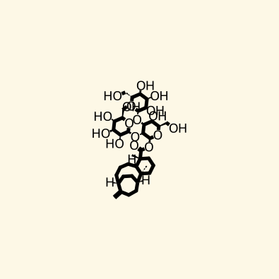 C=C1CC[C@H]2CC[C@@H]1CCC[C@H]1[C@@]2(C)CCC[C@@]1(C)C(=O)O[C@@H]1O[C@H](CO)[C@@H](O)[C@H](O[C@@H]2O[C@H](CO)[C@@H](O)[C@H](O)[C@H]2O)[C@H]1O[C@@H]1O[C@H](CO)[C@@H](O)[C@H](O)[C@H]1O